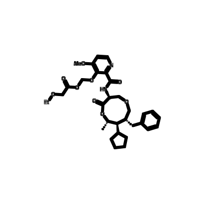 CCOCC(=O)OCOc1c(OC)ccnc1C(=O)N[C@H]1COC[C@H](Cc2ccccc2)[C@@H](C2CCCC2)[C@H](C)OC1=O